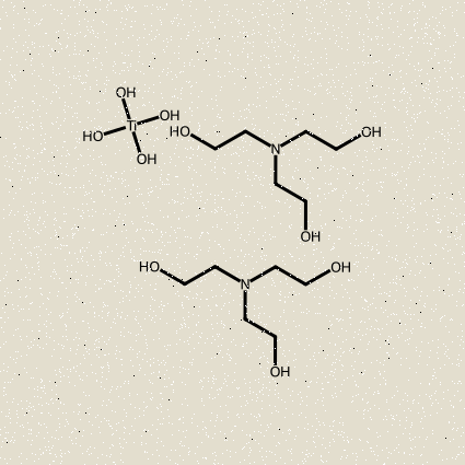 OCCN(CCO)CCO.OCCN(CCO)CCO.[OH][Ti]([OH])([OH])[OH]